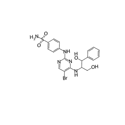 NS(=O)(=O)c1ccc(Nc2ncc(Br)c(NC(CO)C(O)c3ccccc3)n2)cc1